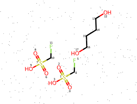 O=S(=O)(O)CF.O=S(=O)(O)CF.OCCCCO